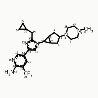 CN1CCN(C2CC3C(C2)C3n2cc(-c3cnc(N)c(C(F)(F)F)c3)nc2CC2CC2)CC1